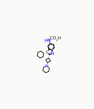 C1CCCCC1.O=C(O)Nc1ccc2nc([C@H]3C[C@@H](N4CCCCC4)C3)sc2c1